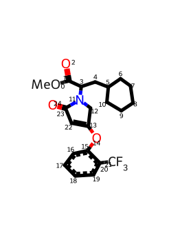 COC(=O)C(CC1CCCCC1)N1CC(Oc2ccccc2C(F)(F)F)=CC1=O